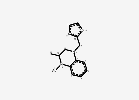 CC(=O)N1c2ccccc2N(Cc2nccs2)CC1C